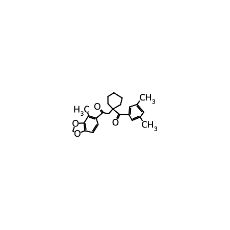 Cc1cc(C)cc(C(=O)C2(CC(=O)c3ccc4c(c3C)OCO4)CCCCC2)c1